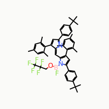 Cc1cc(C)c(C2=CC(c3ccc(C(C)(C)C)cc3)=N/C2=C\c2c(-c3c(C)cc(C)cc3C)cc(-c3ccc(C(C)(C)C)cc3)n2B(F)OCC(F)(F)C(F)(F)F)c(C)c1